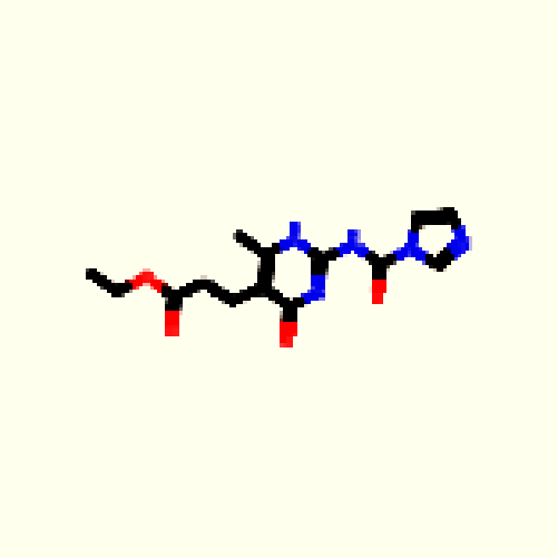 CCOC(=O)CCc1c(C)[nH]c(NC(=O)n2ccnc2)nc1=O